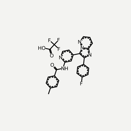 Cc1ccc(C(=O)Nc2cc(-c3c(-c4ccc(F)cc4)nc4cccnn34)ccn2)cc1.O=C(O)C(F)(F)F